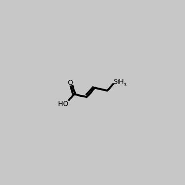 O=C(O)C=CC[SiH3]